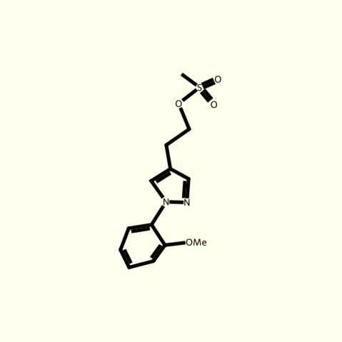 COc1ccccc1-n1cc(CCOS(C)(=O)=O)cn1